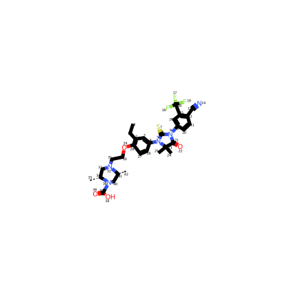 CCc1cc(N2C(=S)N(c3ccc(C#N)c(C(F)(F)F)c3)C(=O)C2(C)C)ccc1OCCN1C[C@@H](C)N(C(=O)O)C[C@H]1C